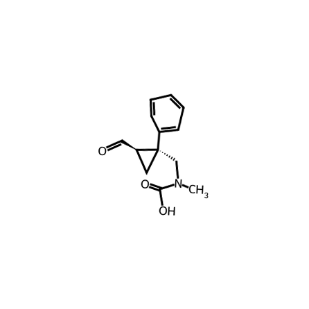 CN(C[C@]1(c2ccccc2)C[C@H]1C=O)C(=O)O